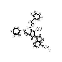 Nc1ncnc2c1ncn2[C@H]1C[C@H](OCc2ccccc2)[C@@H](COCc2ccccc2)[C@@H]1O